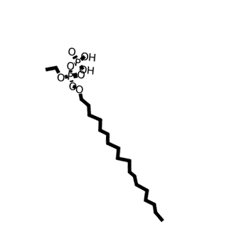 CCCCCCCCCCCCCCCCCCOOP(=O)(OCC)OP(=O)(O)O